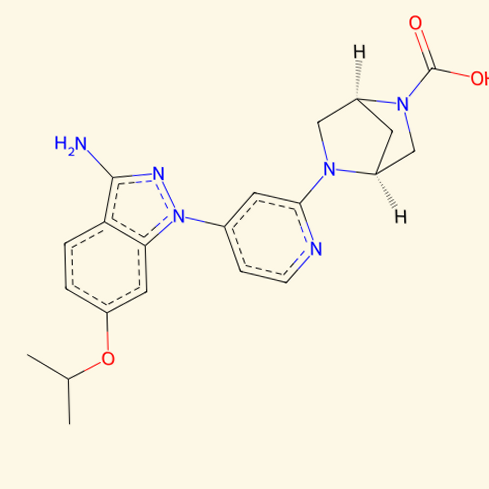 CC(C)Oc1ccc2c(N)nn(-c3ccnc(N4C[C@@H]5C[C@H]4CN5C(=O)O)c3)c2c1